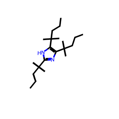 CCCC(C)(C)c1nc(C(C)(C)CCC)c(C(C)(C)CCC)[nH]1